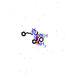 CC(C)CC(CNCCCCc1ccccc1)NC(=O)[C@@H]1CCCC[C@@]1(C(N)=O)c1c(C(=O)O)n(C)c2ccccc12